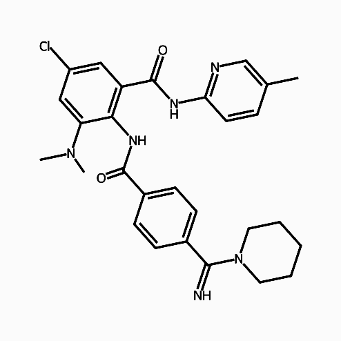 Cc1ccc(NC(=O)c2cc(Cl)cc(N(C)C)c2NC(=O)c2ccc(C(=N)N3CCCCC3)cc2)nc1